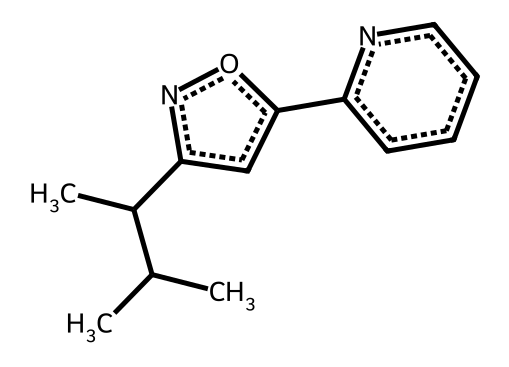 CC(C)C(C)c1cc(-c2ccccn2)on1